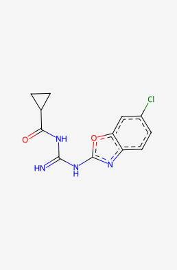 N=C(NC(=O)C1CC1)Nc1nc2ccc(Cl)cc2o1